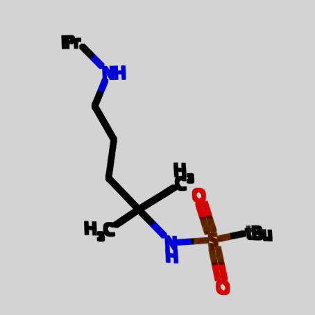 CC(C)NCCCC(C)(C)NS(=O)(=O)C(C)(C)C